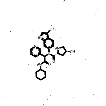 Cc1c[nH]c2cc(N(C(=O)[C@H]3C[C@@H](O)CN3)C(C(=O)NC3CCCCC3)c3cccnc3)ccc12